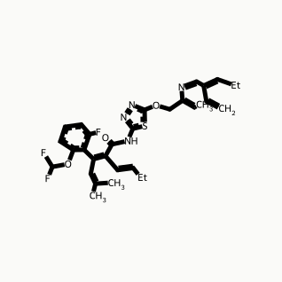 C=CC(/C=N\C(=C/C)COc1nnc(NC(=O)C(/C=C/CC)=C(/C=C(C)C)c2c(F)cccc2OC(F)F)s1)=C\CC